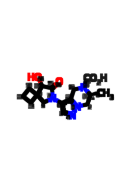 C[C@H]1Cn2ncc(N3CC4(CCC4)C(O)C3=O)c2CN1C(=O)O